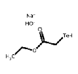 CCOC(=O)C[TeH].[Na+].[OH-]